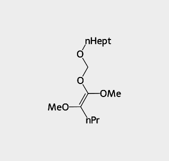 CCCCCCCOCO/C(OC)=C(/CCC)OC